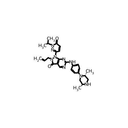 C=CCn1c(=O)c2cnc(Nc3ccc(N4C[C@H](C)NC[C@H]4C)cc3)nc2n1-c1ccc(=O)n(C(C)C)n1